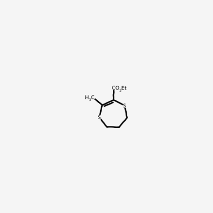 CCOC(=O)C1=C(C)SCCCS1